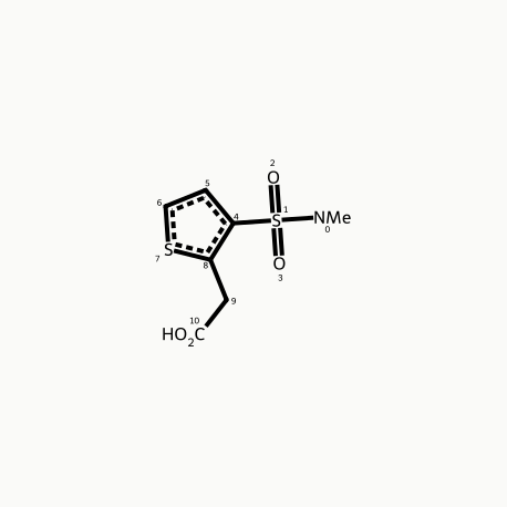 CNS(=O)(=O)c1ccsc1CC(=O)O